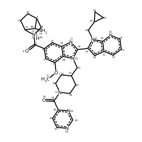 COc1cc(C(=O)N2CC3CCC2[C@@H]3N)cc2nc(-c3cc4cccnc4n3CC3CC3)n(CC3CCN(C(=O)c4ccncn4)CC3)c12